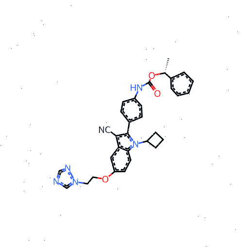 C[C@@H](OC(=O)Nc1ccc(-c2c(C#N)c3cc(OCCn4cncn4)ccc3n2C2CCC2)cc1)c1ccccc1